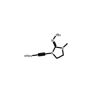 CCCCCCC#CN1CCN(C)C1=NC(C)(C)C